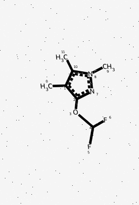 Cc1c(OC(F)F)nn(C)c1C